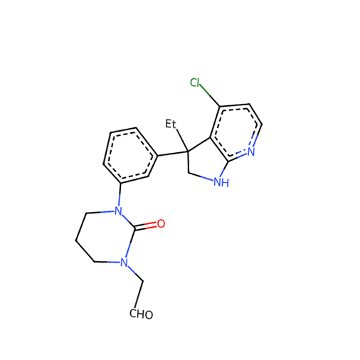 CCC1(c2cccc(N3CCCN(CC=O)C3=O)c2)CNc2nccc(Cl)c21